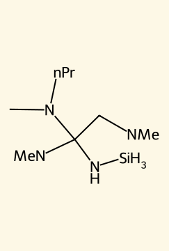 CCCN(C)C(CNC)(NC)N[SiH3]